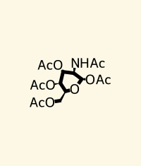 CC(=O)N[C@H]1[C@@H](OC(C)=O)O[C@@H](COC(C)=O)[C@H](OC(C)=O)[C@H]1OC(C)=O